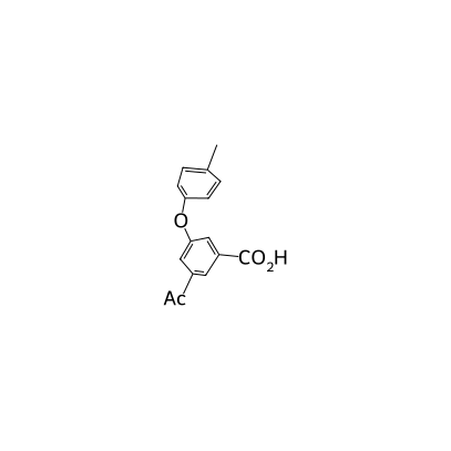 CC(=O)c1cc(Oc2ccc(C)cc2)cc(C(=O)O)c1